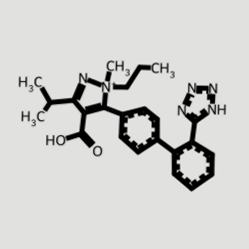 CCC[N+]1(C)N=C(C(C)C)C(C(=O)O)=C1c1ccc(-c2ccccc2-c2nnn[nH]2)cc1